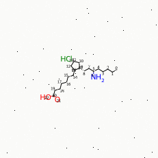 CCCCCC(N)CC[C@H]1CCC[C@@H]1CCCCCCC(=O)O.Cl